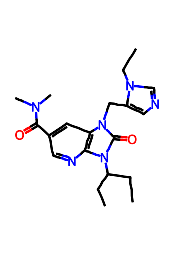 CCC(CC)n1c(=O)n(Cc2cncn2CC)c2cc(C(=O)N(C)C)cnc21